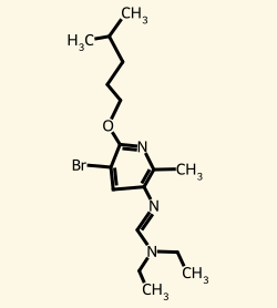 CCN(C=Nc1cc(Br)c(OCCCC(C)C)nc1C)CC